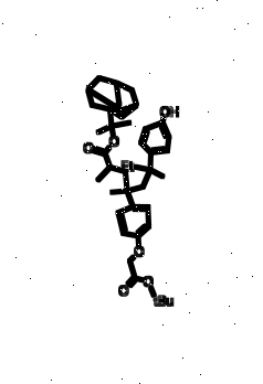 CCC(C)(CC(C)(CC(C)C(=O)OC(C)(C)C12CC3CC(CC(C3)C1)C2)c1ccc(OCC(=O)OC(C)(C)C)cc1)c1ccc(O)cc1